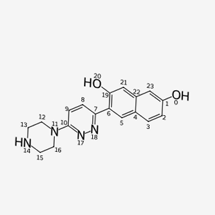 Oc1ccc2cc(-c3ccc(N4CCNCC4)nn3)c(O)cc2c1